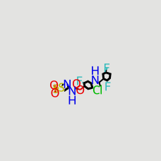 CC(Nc1cc(F)c(OC(=O)NC2=CS(=S(=O)=O)C=N2)cc1Cl)c1cc(F)ccc1F